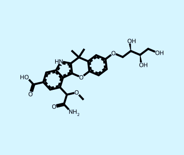 COC(C(N)=O)c1cc(C(=O)O)cc2[nH]c3c(c12)Oc1ccc(OC[C@@H](O)[C@H](O)CO)cc1C3(C)C